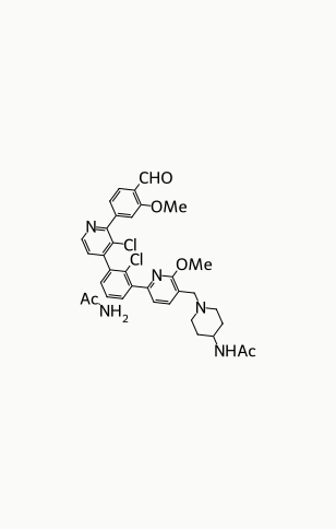 CC(N)=O.COc1cc(-c2nccc(-c3cccc(-c4ccc(CN5CCC(NC(C)=O)CC5)c(OC)n4)c3Cl)c2Cl)ccc1C=O